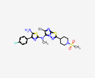 CCc1nc2sc(C3CCN(S(C)(=O)=O)CC3)nn2c1N(C)c1nc(-c2ccc(F)cc2)c(N)s1